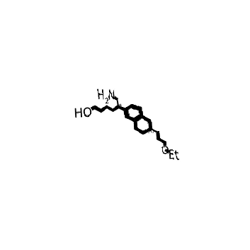 CCOCCC[C@H]1CCc2cc([C@H](CN)CCCCO)ccc2C1